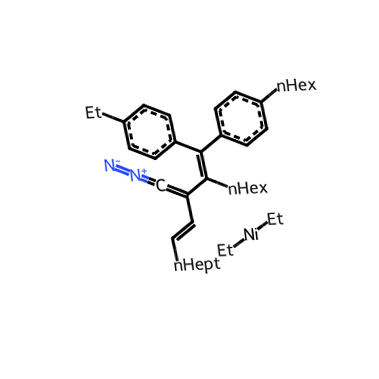 CCCCCCCC=CC(=C=[N+]=[N-])C(CCCCCC)=C(c1ccc(CC)cc1)c1ccc(CCCCCC)cc1.C[CH2][Ni][CH2]C